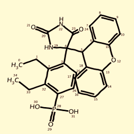 CCc1c(C2(C3c4ccccc4Oc4ccccc43)NC(=O)NC2=O)ccc(P(=O)(O)O)c1CC